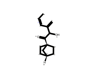 C=C(/C=C\C)C(O)C(=O)[C@]12CC[C@H](CC1)C2